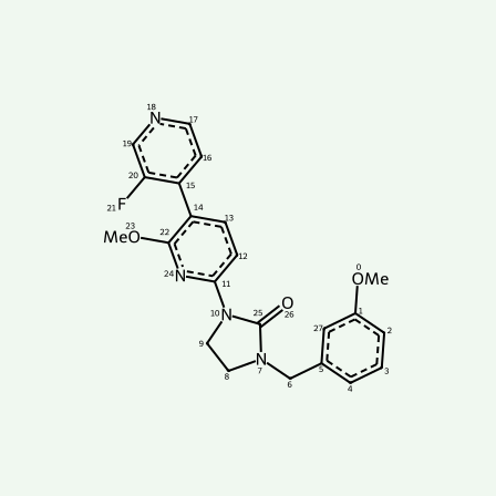 COc1cccc(CN2CCN(c3ccc(-c4ccncc4F)c(OC)n3)C2=O)c1